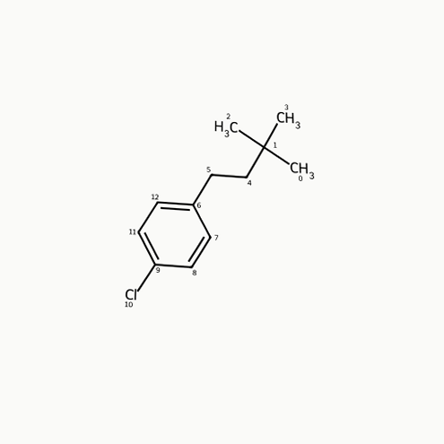 CC(C)(C)CCc1ccc(Cl)cc1